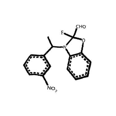 CC(c1cccc([N+](=O)[O-])c1)N1c2ccccc2OC1(F)C=O